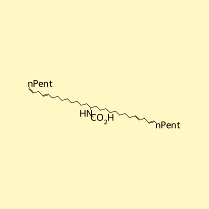 CCCCCC=CCC=CCCCCCCCCC(CCCCCCCCC=CC/C=C\CCCCC)NC(=O)O